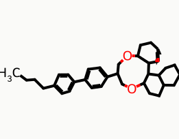 CCCCc1ccc(-c2ccc(C3COC4CCC5CCCCC5C4C4C(CCC5CCCCC54)OC3)cc2)cc1